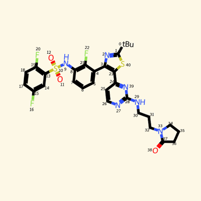 CC(C)(C)c1nc(-c2cccc(NS(=O)(=O)c3cc(F)ccc3F)c2F)c(-c2ccnc(NCCCN3CCCC3=O)n2)s1